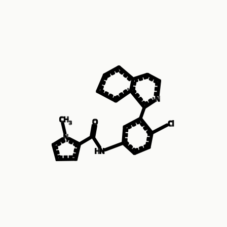 Cn1cccc1C(=O)Nc1ccc(Cl)c(-c2nccc3ccccc23)c1